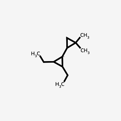 CCC1[C](C2CC2(C)C)C1CC